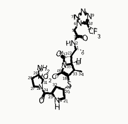 C[C@@H](NC(=O)Cn1nnnc1C(F)(F)F)[C@H]1C(=O)N2C(C(=O)O)=C(S[C@@H]3CNC(C(=O)N4CC[C@@H](N)C4)C3)[C@H](C)[C@H]12